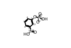 O=[N+](O)c1cccc(OP(=O)([O-])O)c1